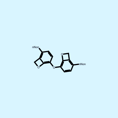 CCCCCCCCCc1ccc(Oc2ccc(CCCCCCCCC)c3c2OC3)c2c1CO2